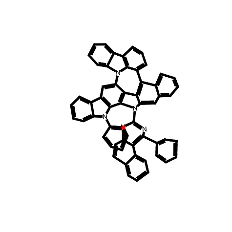 c1ccc(-c2nc(-n3c4cc5ccccc5c5c6cccc7c8ccccc8n(c8cc9c%10ccccc%10n(-c%10ccccc%10)c9c3c8c54)c76)nc3ccc4ccccc4c23)cc1